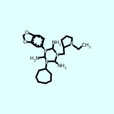 CCN1CCCC1CN1C(N)N(c2ccc3c(c2)OCO3)C(N)N(C2CCCCCC2)C1N